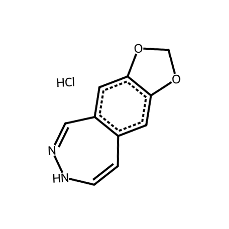 C1=Cc2cc3c(cc2C=NN1)OCO3.Cl